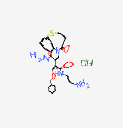 Cl.NCCNC(=O)[C@@H](COCc1ccccc1)C(CN1C(=O)CCSc2ccccc21)C(N)=O